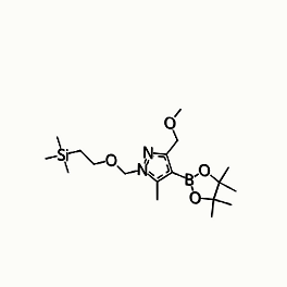 COCc1nn(COCC[Si](C)(C)C)c(C)c1B1OC(C)(C)C(C)(C)O1